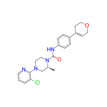 C[C@H]1CN(c2ncccc2Cl)CCN1C(=O)Nc1ccc(C2=CCOCC2)cc1